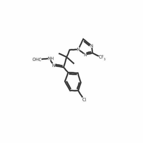 CC(C)(Cn1cnc(C(F)(F)F)n1)C(=NNC=O)c1ccc(Cl)cc1